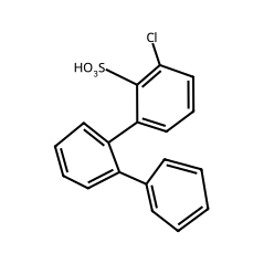 O=S(=O)(O)c1c(Cl)cccc1-c1ccccc1-c1ccccc1